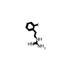 N=C(N)NCCc1ccccc1I